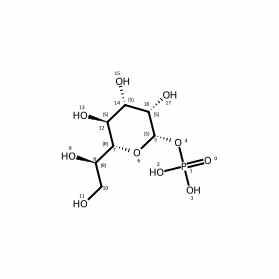 O=P(O)(O)O[C@@H]1O[C@H]([C@H](O)CO)[C@@H](O)[C@H](O)[C@@H]1O